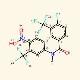 CN(C(=O)c1ccc(F)c(C(F)(F)F)c1)c1ccc([N+](=O)O)c(C(F)(F)F)c1